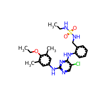 CCNS(=O)(=O)NCc1ccccc1Nc1nc(Nc2cc(C)c(OCC)c(C)c2)ncc1Cl